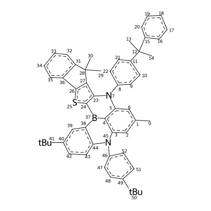 Cc1cc2c3c(c1)N(c1ccc(C(C)(C)c4ccccc4)cc1)c1c(sc4c1C(C)(C)c1ccccc1-4)B3c1cc(C(C)(C)C)ccc1N2c1ccc(C(C)(C)C)cc1